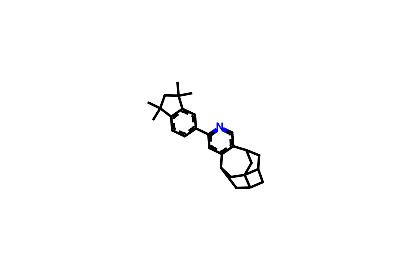 CC1(C)CC(C)(C)c2cc(-c3cc4c(cn3)C3CC5CC6CC4CC56C3)ccc21